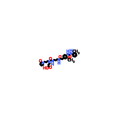 COc1cc(CC(=O)NCCCNC(=O)N(CCCN2CCCC2=O)CCC(=O)O)ccc1NC(=O)Nc1ccccc1C